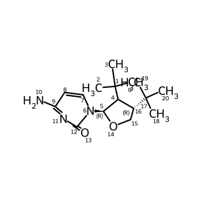 CC(C)(C)C1[C@H](n2ccc(N)nc2=O)OC[C@H]1C(C)(C)C